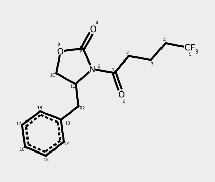 O=C(CCCC(F)(F)F)N1C(=O)OCC1Cc1ccccc1